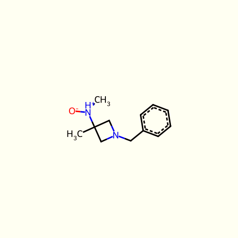 C[NH+]([O-])C1(C)CN(Cc2ccccc2)C1